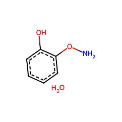 NOc1ccccc1O.O